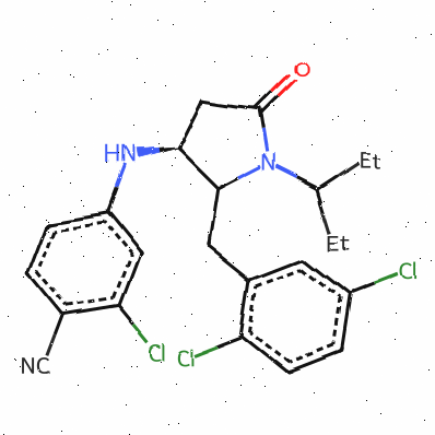 CCC(CC)N1C(=O)C[C@H](Nc2ccc(C#N)c(Cl)c2)C1Cc1cc(Cl)ccc1Cl